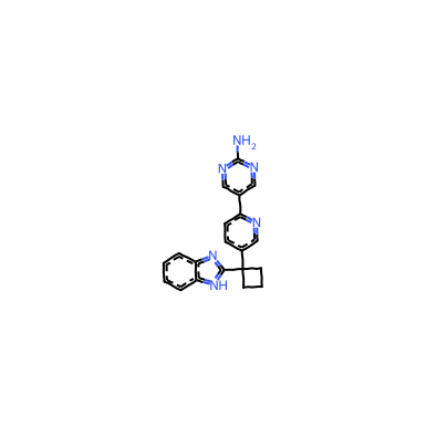 Nc1ncc(-c2ccc(C3(c4nc5ccccc5[nH]4)CCC3)cn2)cn1